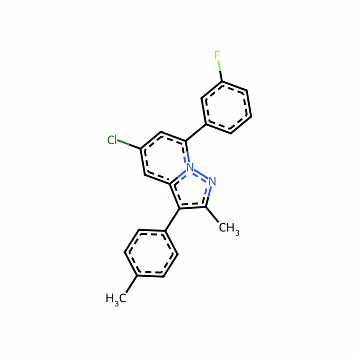 Cc1ccc(-c2c(C)nn3c(-c4cccc(F)c4)cc(Cl)cc23)cc1